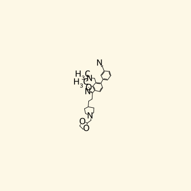 CN(C)Cc1c(-c2cccc(C#N)c2)ccc2c(CCC3CCN(CC4OCCO4)CC3)noc12